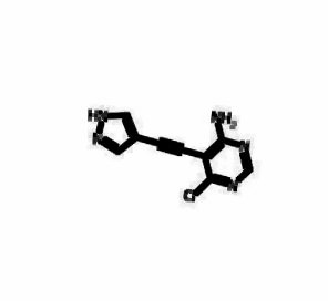 Nc1ncnc(Cl)c1C#Cc1cn[nH]c1